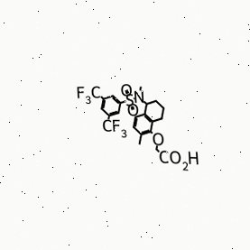 Cc1ccc2c(c1OCC(=O)O)CCCC2N(C)S(=O)(=O)c1cc(C(F)(F)F)cc(C(F)(F)F)c1